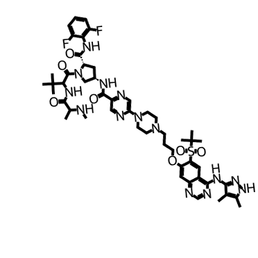 CNC(C)C(=O)NC(C(=O)N1C[C@@H](NC(=O)c2cnc(N3CCN(CCCOc4cc5ncnc(Nc6n[nH]c(C)c6C)c5cc4S(=O)(=O)C(C)(C)C)CC3)cn2)C[C@H]1C(=O)Nc1c(F)cccc1F)C(C)(C)C